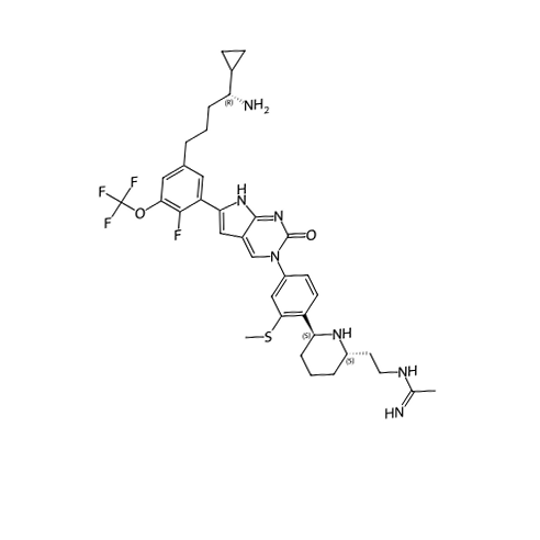 CSc1cc(-n2cc3cc(-c4cc(CCC[C@@H](N)C5CC5)cc(OC(F)(F)F)c4F)[nH]c3nc2=O)ccc1[C@@H]1CCC[C@@H](CCNC(C)=N)N1